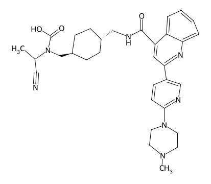 CC(C#N)N(C[C@H]1CC[C@H](CNC(=O)c2cc(-c3ccc(N4CCN(C)CC4)nc3)nc3ccccc23)CC1)C(=O)O